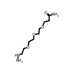 NNCCOCCOCCOCCC(N)=O